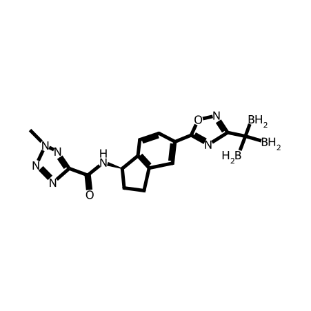 BC(B)(B)c1noc(-c2ccc3c(c2)CC[C@H]3NC(=O)c2nnn(C)n2)n1